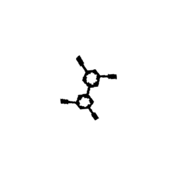 C#Cc1cc(C#C)cc(-c2cc(C#C)cc(C#C)c2)c1